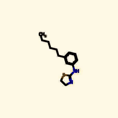 CCCCCCc1cccc(NC2=NCCS2)c1